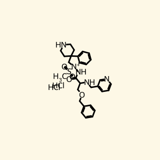 CS(=O)(=O)[N+]1(NC(=O)C(COCc2ccccc2)NCc2cccnc2)CC2(CCNCC2)c2ccccc21.Cl.Cl